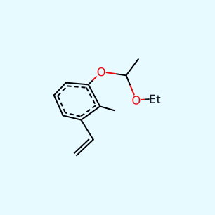 C=Cc1cccc(OC(C)OCC)c1C